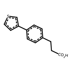 O=C(O)CCc1ccc(-c2ccsc2)cc1